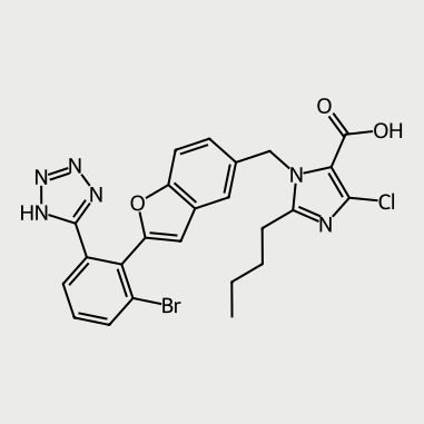 CCCCc1nc(Cl)c(C(=O)O)n1Cc1ccc2oc(-c3c(Br)cccc3-c3nnn[nH]3)cc2c1